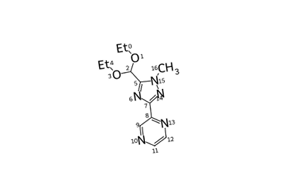 CCOC(OCC)c1nc(-c2cnccn2)nn1C